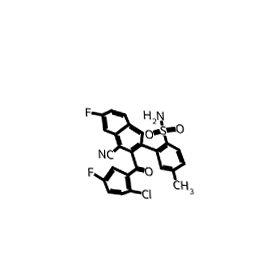 Cc1ccc(S(N)(=O)=O)c(-c2cc3ccc(F)cc3c(C#N)c2C(=O)c2cc(F)ccc2Cl)c1